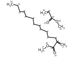 C=C(CCCCCCCCCCCC)C(=O)OC.C=CC(=O)OC